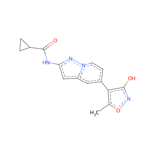 Cc1onc(O)c1-c1ccn2nc(NC(=O)C3CC3)cc2c1